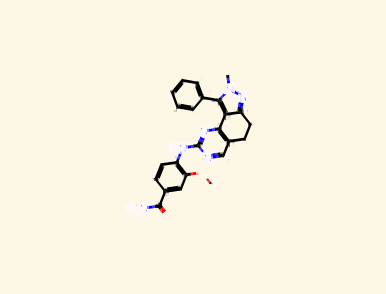 COc1cc(C(N)=O)ccc1Nc1ncc2c(n1)-c1c(nn(C)c1-c1ccccc1)CC2